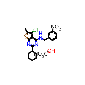 Cc1sc2nc(C3CCCCC3)nc(NCc3cccc([N+](=O)[O-])c3)c2c1Cl.O=C(O)O